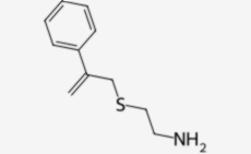 C=C(CSCCN)c1ccccc1